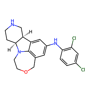 Clc1ccc(Nc2cc3c4c(c2)[C@@H]2CNCC[C@@H]2N4CCOC3)c(Cl)c1